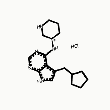 Cl.c1nc(N[C@@H]2CCCNC2)c2c(CC3CCCC3)c[nH]c2n1